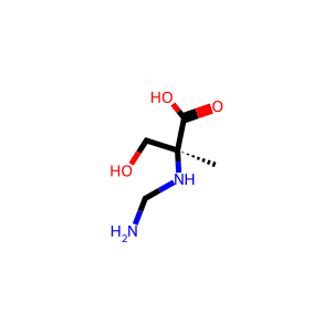 C[C@@](CO)(NCN)C(=O)O